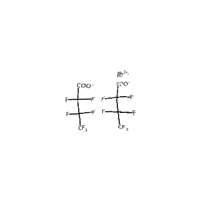 O=C([O-])C(F)(F)C(F)(F)C(F)(F)F.O=C([O-])C(F)(F)C(F)(F)C(F)(F)F.[Rh+2]